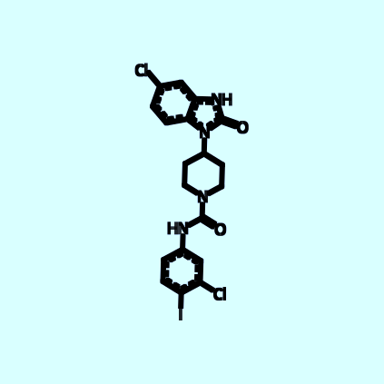 O=C(Nc1ccc(I)c(Cl)c1)N1CCC(n2c(=O)[nH]c3cc(Cl)ccc32)CC1